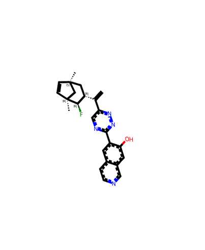 C=C(c1cnc(-c2cc3ccncc3cc2O)nn1)[C@H]1C[C@]2(C)C=C[C@@](C)(C2)[C@@H]1F